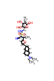 CCN(CC)c1ccc2cc(-c3ccc(/C(C)=C(\C#N)S(=O)(=O)NC[C@H]4OC(O)[C@H](C)[C@@H](O)[C@@H]4O)o3)ccc2c1